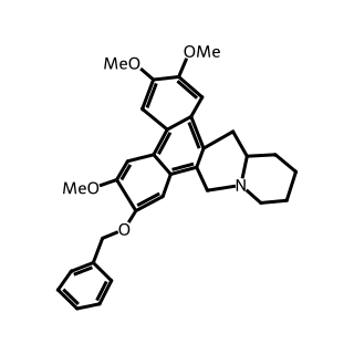 COc1cc2c3c(c4cc(OCc5ccccc5)c(OC)cc4c2cc1OC)CN1CCCCC1C3